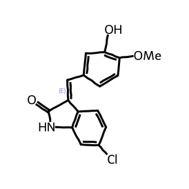 COc1ccc(/C=C2/C(=O)Nc3cc(Cl)ccc32)cc1O